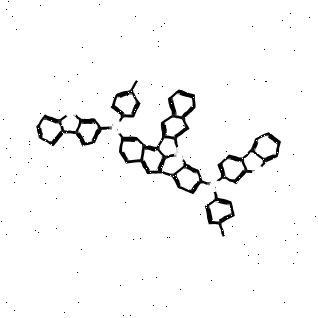 Cc1ccc(N(c2ccc3c(c2)sc2ccccc23)c2ccc3cc4c5ccc(N(c6ccc(C)cc6)c6ccc7c(c6)sc6ccccc67)cc5n5c6cc7ccccc7cc6c(c3c2)c45)cc1